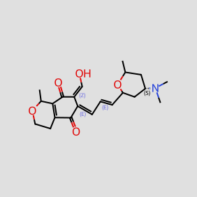 CC1C[C@H](N(C)C)CC(/C=C/C=C2/C(=O)C3=C(C(=O)/C2=C\O)C(C)OCC3)O1